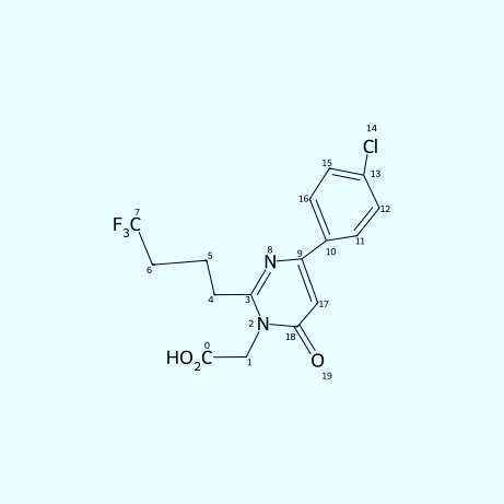 O=C(O)Cn1c(CCCC(F)(F)F)nc(-c2ccc(Cl)cc2)cc1=O